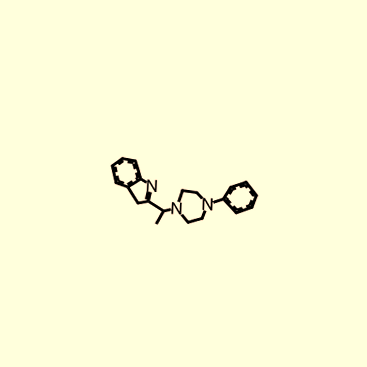 CC(C1=Nc2ccccc2C1)N1CCN(c2ccccc2)CC1